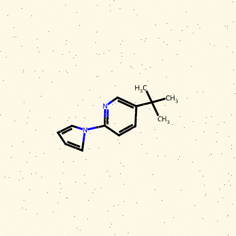 CC(C)(C)c1ccc(-n2cccc2)nc1